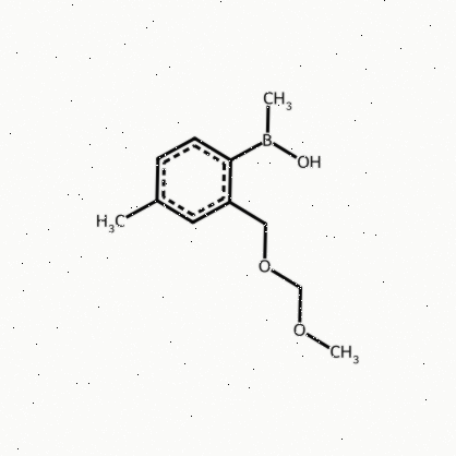 COCOCc1cc(C)ccc1B(C)O